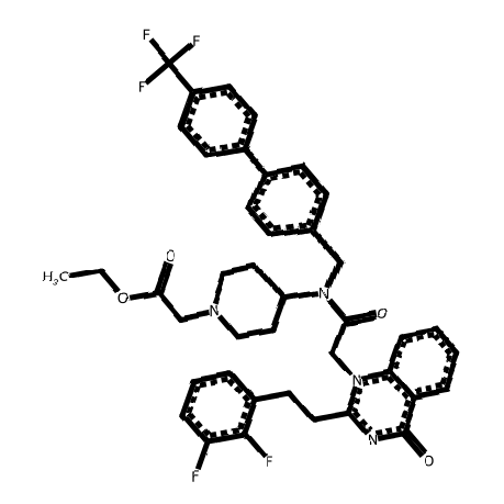 CCOC(=O)CN1CCC(N(Cc2ccc(-c3ccc(C(F)(F)F)cc3)cc2)C(=O)Cn2c(CCc3cccc(F)c3F)nc(=O)c3ccccc32)CC1